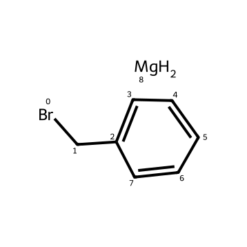 BrCc1ccccc1.[MgH2]